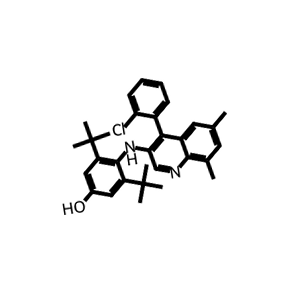 Cc1cc(C)c2ncc(Nc3c(C(C)(C)C)cc(O)cc3C(C)(C)C)c(-c3ccccc3Cl)c2c1